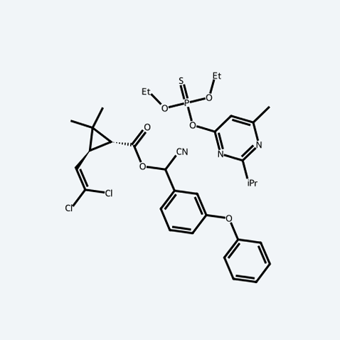 CC1(C)[C@H](C=C(Cl)Cl)[C@H]1C(=O)OC(C#N)c1cccc(Oc2ccccc2)c1.CCOP(=S)(OCC)Oc1cc(C)nc(C(C)C)n1